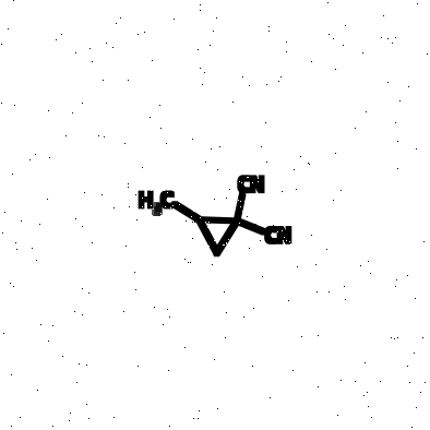 CC1CC1(C#N)C#N